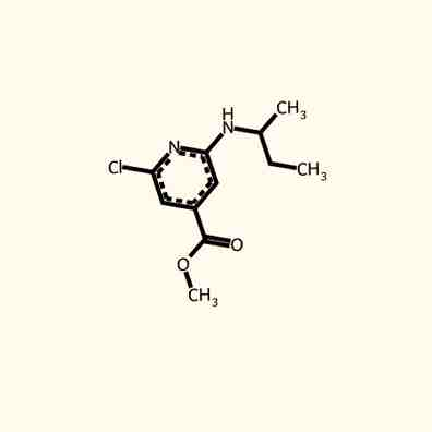 CCC(C)Nc1cc(C(=O)OC)cc(Cl)n1